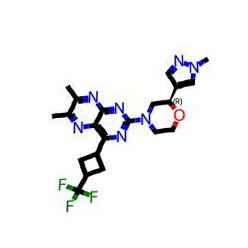 Cc1nc2nc(N3CCO[C@H](c4cnn(C)c4)C3)nc(C3CC(C(F)(F)F)C3)c2nc1C